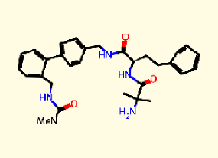 CNC(=O)NCc1ccccc1-c1ccc(CNC(=O)[C@@H](CCc2ccccc2)NC(=O)C(C)(C)N)cc1